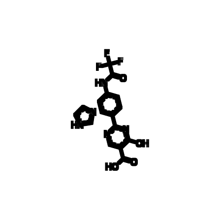 O=C(O)c1cnc(-c2ccc(NC(=O)C(F)(F)F)cc2)nc1O.c1c[nH]cn1